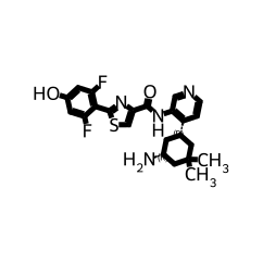 CC1(C)C[C@H](N)C[C@H](c2ccncc2NC(=O)c2csc(-c3c(F)cc(O)cc3F)n2)C1